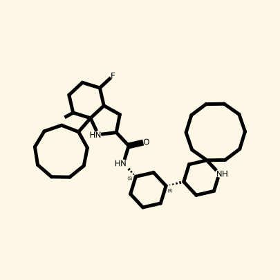 CC1CCC(F)C2CC(C(=O)N[C@H]3CCC[C@@H](C4CCNC5(CCCCCCCCC5)C4)C3)NC12C1CCCCCCCC1